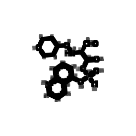 O=C[C@H](NOC1CCOCC1)C(=O)OP(=O)(Cl)Oc1cccc2ncccc12